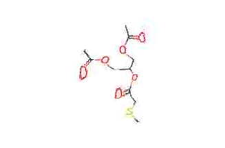 CSCC(=O)OC(COC(C)=O)COC(C)=O